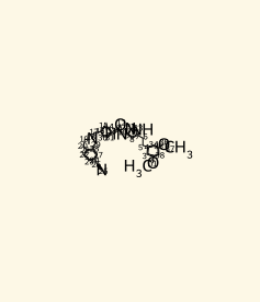 COc1cc(CCc2cc(NC(=O)c3ccc(CN4CCc5ccc(C#N)cc5C4)cc3)n[nH]2)cc(OC)c1